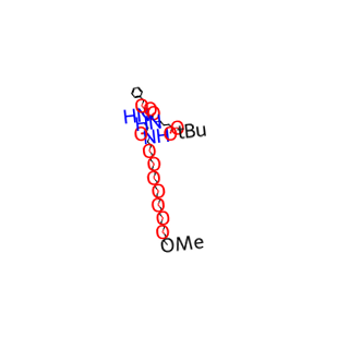 COCCOCCOCCOCCOCCOCCOCCOCCNC(=O)CC[C@H](NC(=O)OCc1ccccc1)C(=O)NCCCC(=O)OC(C)(C)C